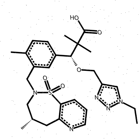 CCn1cc(CO[C@H](c2ccc(C)c(CN3C[C@@H](C)Cc4ncccc4S3(=O)=O)c2)C(C)(C)C(=O)O)nn1